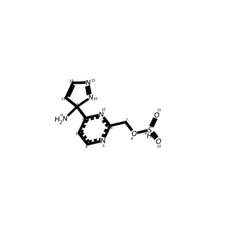 NC1(c2ccnc(CO[SH](=O)=O)n2)C=CN=N1